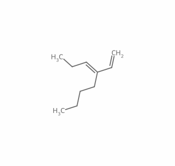 C=CC(=CCC)CCCC